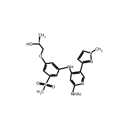 CC(=O)Nc1cc(Nc2cc(OC[C@H](C)O)cc(S(C)(=O)=O)c2)c(-c2ccn(C)n2)cn1